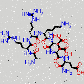 C[C@H](N)C(=O)N[C@@H](CCCNC(=N)N)C(=O)N[C@@H](CCCNC(=N)N)C(=O)N[C@@H](CCCCN)C(=O)N[C@@H](CCC(=O)O)C(=O)N[C@@H](CCC(=O)O)C(=O)N[C@@H](CCC(=O)O)C(N)=O